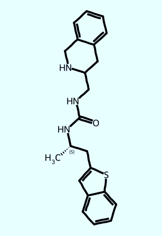 C[C@@H](Cc1cc2ccccc2s1)NC(=O)NCC1Cc2ccccc2CN1